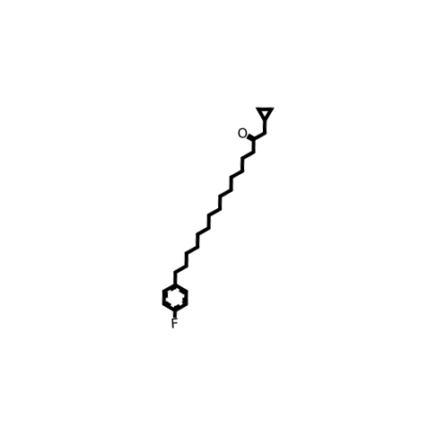 O=C(CCCCCCCCCCCCCCc1ccc(F)cc1)CC1CC1